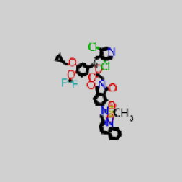 CS(=O)(=O)N(Cc1ccc2ccccc2n1)c1ccc2c(c1)C(=O)N(CC(=O)O[C@@H](Cc1c(Cl)cncc1Cl)c1ccc(OC(F)F)c(OCC3CC3)c1)C2=O